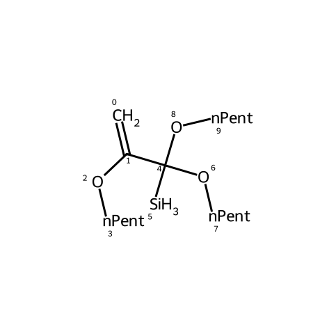 C=C(OCCCCC)C([SiH3])(OCCCCC)OCCCCC